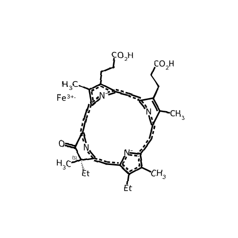 CCc1c(C)c2cc3nc(cc4[n-]c(cc5nc(cc1[n-]2)[C@](C)(CC)C5=O)c(C)c4CCC(=O)O)C(CCC(=O)O)=C3C.[Fe+3]